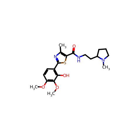 COc1ccc(-c2nc(C)c(C(=O)NCCC3CCCN3C)s2)c(O)c1OC